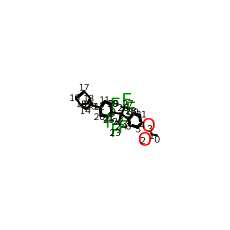 CC(=O)Oc1ccc(C(c2ccc(C3CC4C=CC3C4)cc2)(C(F)(F)F)C(F)(F)F)cc1